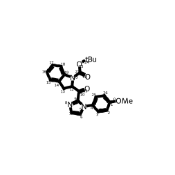 COc1ccc(-n2ccnc2C(=O)C2Cc3ccccc3N2C(=O)OC(C)(C)C)cc1